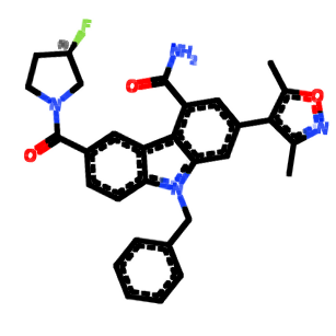 Cc1noc(C)c1-c1cc(C(N)=O)c2c3cc(C(=O)N4CC[C@@H](F)C4)ccc3n(Cc3ccccc3)c2c1